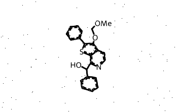 COCOc1c(-c2ccccc2)sc2c(C(O)c3ccccc3)nccc12